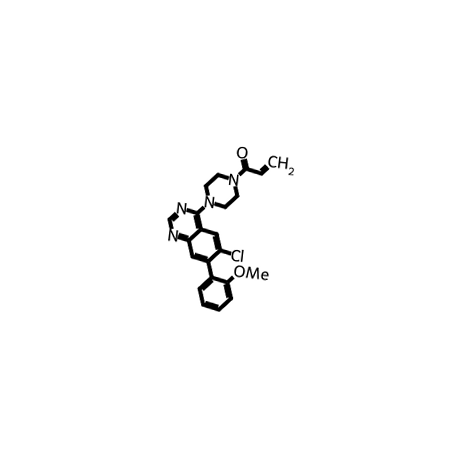 C=CC(=O)N1CCN(c2ncnc3cc(-c4ccccc4OC)c(Cl)cc23)CC1